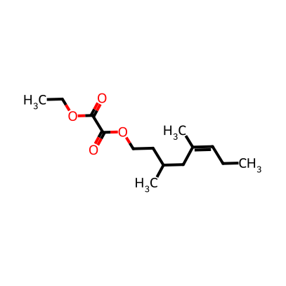 CCC=C(C)CC(C)CCOC(=O)C(=O)OCC